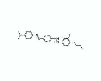 CCCCc1ccc(NNc2ccc(/N=N/c3ccc(N(C)C)cc3)cc2)cc1F